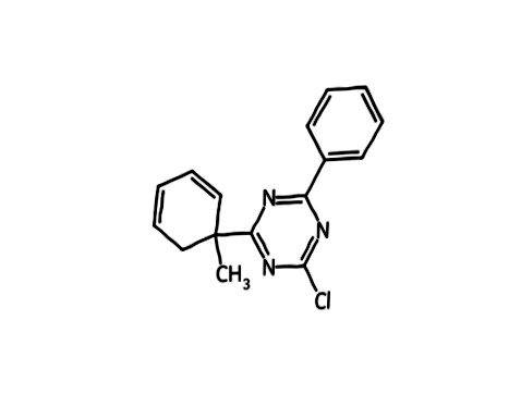 CC1(c2nc(Cl)nc(-c3ccccc3)n2)C=CC=CC1